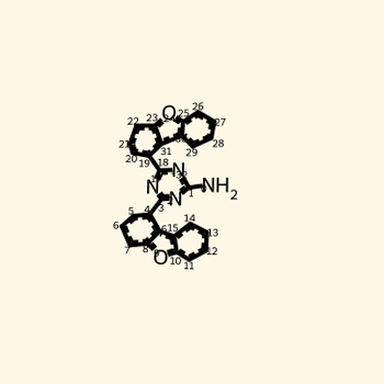 Nc1nc(-c2cccc3oc4ccccc4c23)nc(-c2cccc3oc4ccccc4c23)n1